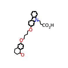 O=C(O)CCn1c2ccccc2c2ccc(OCCCCOc3ccc4c(c3)CCCC4=O)cc21